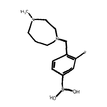 CN1CCCN(Cc2ccc(B(O)O)cc2F)CC1